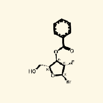 O=C(O[C@H]1[C@H](F)[C@@H](Br)O[C@@H]1CO)c1ccccc1